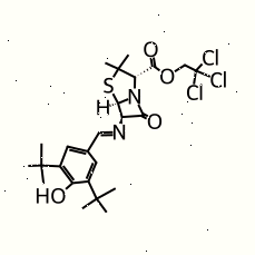 CC(C)(C)c1cc(C=N[C@@H]2C(=O)N3[C@@H]2SC(C)(C)[C@@H]3C(=O)OCC(Cl)(Cl)Cl)cc(C(C)(C)C)c1O